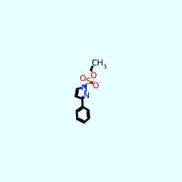 CCOS(=O)(=O)n1ccc(-c2ccccc2)n1